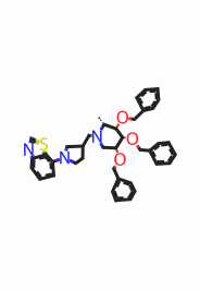 C[C@@H]1[C@@H](OCc2ccccc2)[C@H](OCc2ccccc2)[C@@H](OCc2ccccc2)CN1CC1CCN(c2cccc3ncsc23)C1